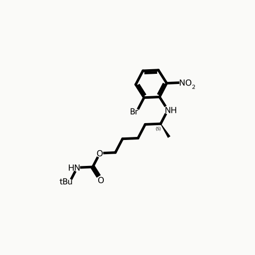 C[C@@H](CCCCOC(=O)NC(C)(C)C)Nc1c(Br)cccc1[N+](=O)[O-]